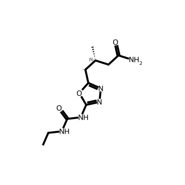 CCNC(=O)Nc1nnc([CH][C@H](C)CC(N)=O)o1